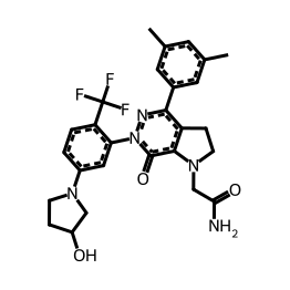 Cc1cc(C)cc(-c2nn(-c3cc(N4CCC(O)C4)ccc3C(F)(F)F)c(=O)c3c2CCN3CC(N)=O)c1